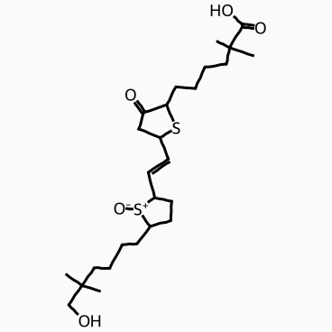 CC(C)(CO)CCCCC1CCC(C=CC2CC(=O)C(CCCCC(C)(C)C(=O)O)S2)[S+]1[O-]